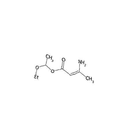 CCOC(C)OC(=O)C=C(C)N